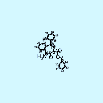 NN1C(=O)C(C(=O)OCc2ccccc2)N=C(c2ccccc2F)c2ccccc21